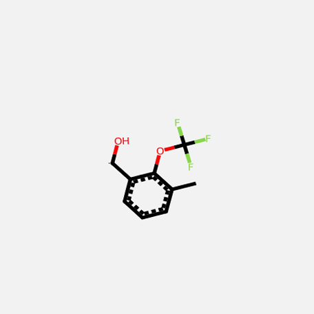 Cc1cccc([CH]O)c1OC(F)(F)F